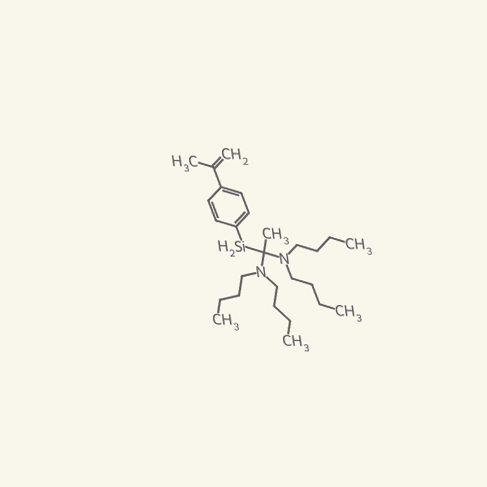 C=C(C)c1ccc([SiH2]C(C)(N(CCCC)CCCC)N(CCCC)CCCC)cc1